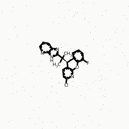 CC(C)(c1nc2cccnc2[nH]1)[C@@H]1c2ccc(Cl)nc2Oc2c(F)cccc21